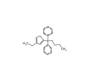 CCCCC(C1=CC(CC)=CC1)(c1ccccc1)c1ccccc1